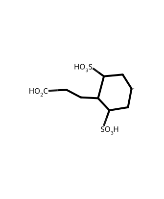 O=C(O)CCC1C(S(=O)(=O)O)C[CH]CC1S(=O)(=O)O